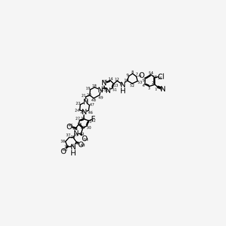 N#Cc1ccc(O[C@H]2CC[C@H](NCc3cnc(N4CCC(CN5CCN(c6cc7c(cc6F)C(=O)N(C6CCC(=O)NC6=O)C7=O)CC5)CC4)nc3)CC2)cc1Cl